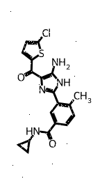 Cc1ccc(C(=O)NC2CC2)cc1-c1nc(C(=O)c2ccc(Cl)s2)c(N)[nH]1